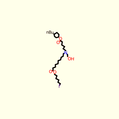 CCCCC1CCC(OC(=O)CCCCCN(CCO)CCCCCCCCCC(=O)OCCCCCCI)CC1